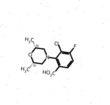 C[C@@H]1CN(c2c(C(=O)O)ccc(F)c2Cl)C[C@H](C)O1